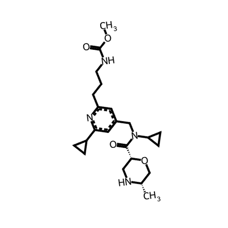 COC(=O)NCCCc1cc(CN(C(=O)[C@H]2CN[C@@H](C)CO2)C2CC2)cc(C2CC2)n1